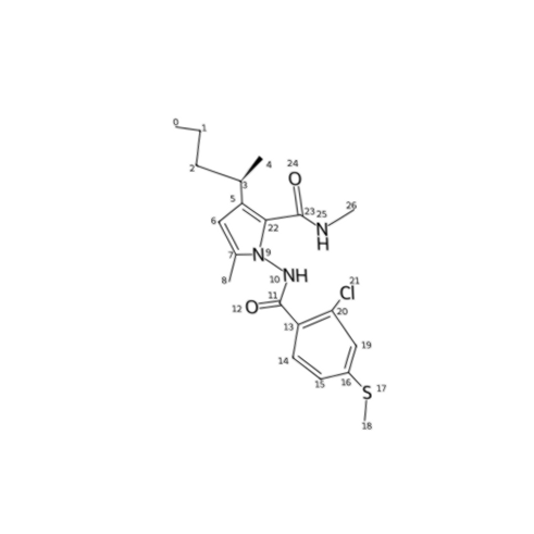 CCC[C@@H](C)c1cc(C)n(NC(=O)c2ccc(SC)cc2Cl)c1C(=O)NC